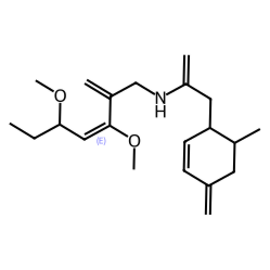 C=C1C=CC(CC(=C)NCC(=C)/C(=C\C(CC)OC)OC)C(C)C1